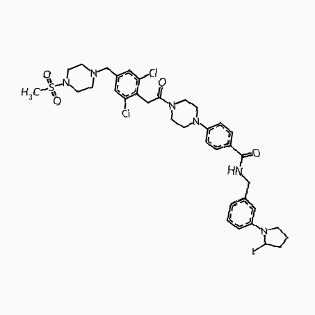 CS(=O)(=O)N1CCN(Cc2cc(Cl)c(CC(=O)N3CCN(c4ccc(C(=O)NCc5cccc(N6CCCC6I)c5)cc4)CC3)c(Cl)c2)CC1